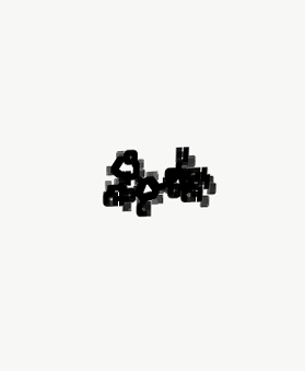 C=CC(=O)N1CCOC[C@H]1c1cc(Cl)cc(B2OC(C)(C)C(C)(C)O2)c1